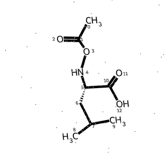 CC(=O)ON[C@@H](CC(C)C)C(=O)O